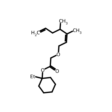 C=CCC(C)/C(C)=C\COCC(=O)OC1(CC)CCCCC1